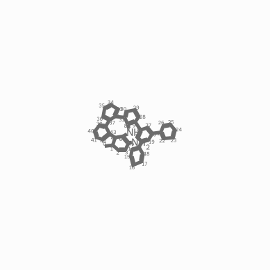 CC1C=CC(N)=C2Nc3c(-c4cc(-c5ccccc5)cc(-c5ccccc5)c4)cccc3-c3ccccc3-c3ccccc3C21